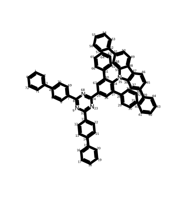 c1ccc(-c2ccc(-c3nc(-c4ccc(-c5ccccc5)cc4)nc(-c4cc(-c5ccccc5)c(-n5c6cc(-c7ccccc7)ccc6c6ccc(-c7ccccc7)cc65)c(-c5ccccc5)c4)n3)cc2)cc1